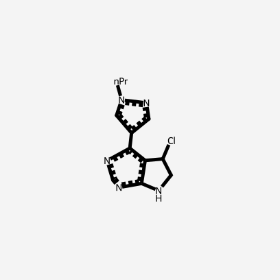 CCCn1cc(-c2ncnc3c2C(Cl)CN3)cn1